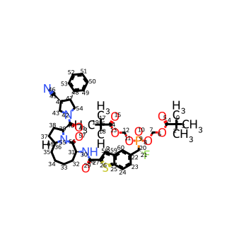 CC(C)(C)C(=O)OCOP(=O)(OCOC(=O)C(C)(C)C)[C@H](F)c1ccc2sc(C(=O)N[C@H]3CCCC[C@H]4CC[C@@H](C(=O)N5C[C@@H](C#N)[C@H](c6ccccc6)C5)N4C3=O)cc2c1